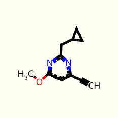 C#Cc1cc(OC)nc(CC2CC2)n1